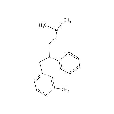 Cc1cccc(CC(CCN(C)C)c2ccccc2)c1